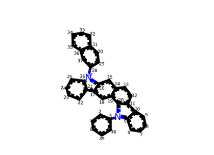 c1ccc(-n2c3ccccc3c3ccc4cc5c(cc4c32)c2ccccc2n5-c2ccc3ccccc3c2)cc1